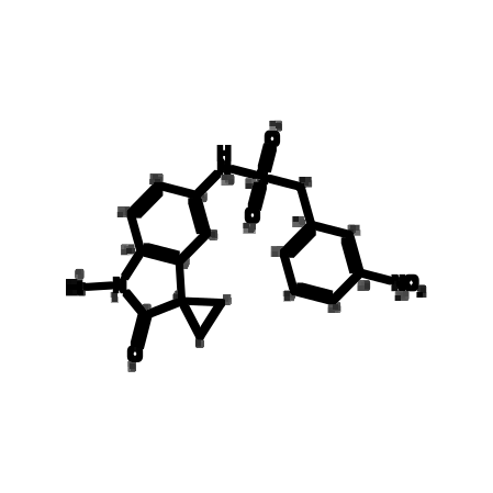 CCN1C(=O)C2(CC2)c2cc(NS(=O)(=O)Cc3cccc([N+](=O)[O-])c3)ccc21